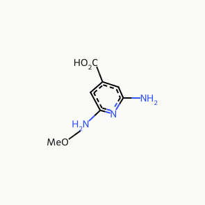 COC.Nc1cc(C(=O)O)cc(N)n1